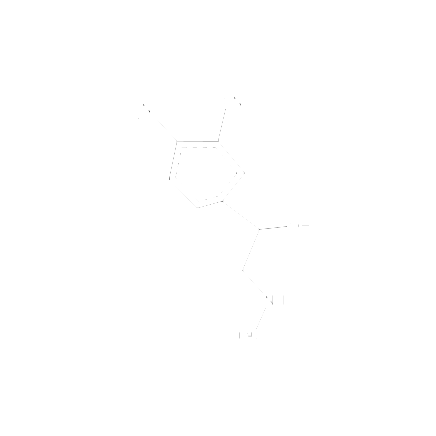 CCC(C)NCC(O)c1ccc(N)c(C#N)c1